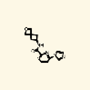 O=C(NC1CC2(COC2)C1)c1nccc(-n2ccnc2)n1